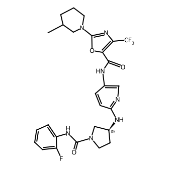 CC1CCCN(c2nc(C(F)(F)F)c(C(=O)Nc3ccc(N[C@H]4CCN(C(=O)Nc5ccccc5F)C4)nc3)o2)C1